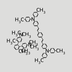 Cc1cc(N(C)C)ccc1-c1cccc(C)c1-c1ccc(N(C)C)cc1C.Cc1ccc(N(c2ccc(C)cc2)c2ccc(C=Cc3ccc(C=Cc4ccc(N(c5ccc(C)cc5)c5ccc(C)cc5)cc4)cc3)cc2)cc1